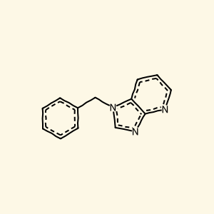 c1ccc(Cn2cnc3ncccc32)cc1